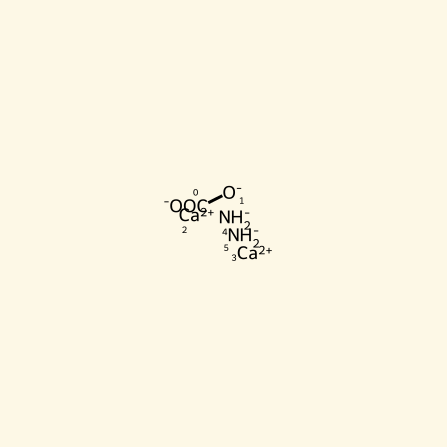 O=C([O-])[O-].[Ca+2].[Ca+2].[NH2-].[NH2-]